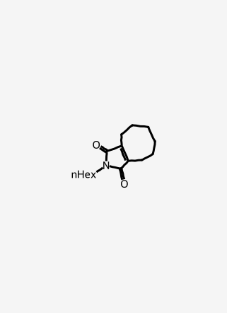 [CH2]CCCCCN1C(=O)C2=C(CCCCCC2)C1=O